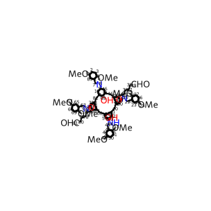 COc1ccc(OC)c(/C=N/c2cc3c(O)c(c2)Cc2cc(/N=C/c4cc(OC)ccc4OC)cc(c2OCCCCCC=O)Cc2cc(NCc4cc(OC)ccc4OC)cc(c2O)Cc2cc(/N=C/c4cc(OC)ccc4OC)cc(c2OCCCCCC=O)C3)c1